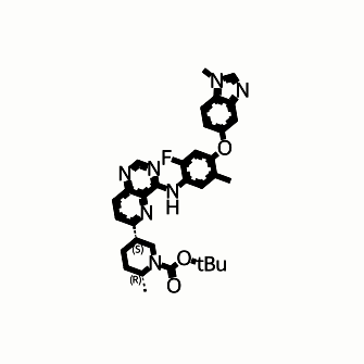 Cc1cc(Nc2ncnc3ccc([C@H]4CC[C@@H](C)N(C(=O)OC(C)(C)C)C4)nc23)c(F)cc1Oc1ccc2c(c1)ncn2C